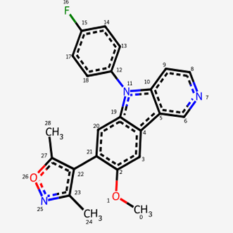 COc1cc2c3cnccc3n(-c3ccc(F)cc3)c2cc1-c1c(C)noc1C